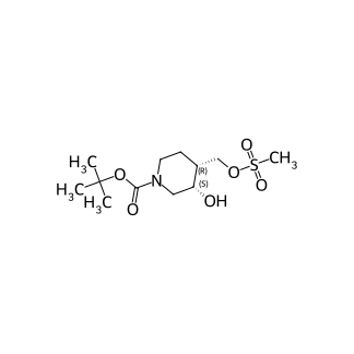 CC(C)(C)OC(=O)N1CC[C@H](COS(C)(=O)=O)[C@H](O)C1